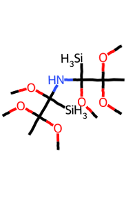 COC([SiH3])(NC([SiH3])(OC)C(C)(OC)OC)C(C)(OC)OC